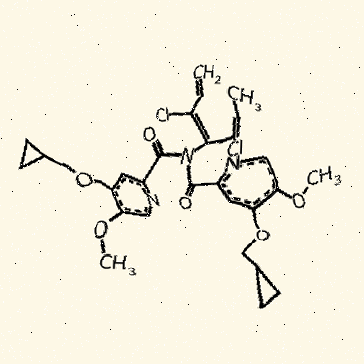 C=C/C(Cl)=C(\C(Cl)=C/C)N(C(=O)c1cc(OCC2CC2)c(OC)cn1)C(=O)c1cc(OCC2CC2)c(OC)cn1